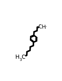 [CH]=CCCc1ccc(CCCCCC)cc1